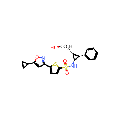 C[C@H]1[C@H](NS(=O)(=O)c2ccc(-c3cc(C4CC4)on3)s2)[C@H]1c1ccccc1.O=C(O)O